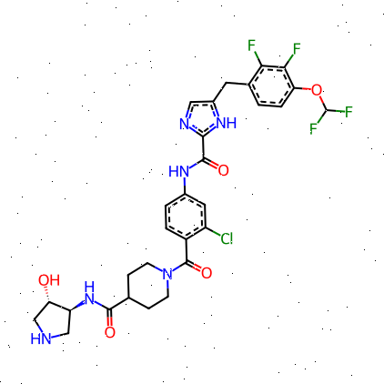 O=C(Nc1ccc(C(=O)N2CCC(C(=O)N[C@H]3CNC[C@@H]3O)CC2)c(Cl)c1)c1ncc(Cc2ccc(OC(F)F)c(F)c2F)[nH]1